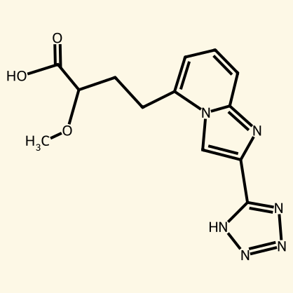 COC(CCc1cccc2nc(-c3nnn[nH]3)cn12)C(=O)O